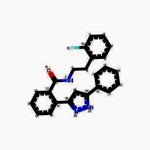 O=C(NCCc1ccccc1F)c1ccccc1-c1cc(-c2ccccc2)[nH]n1